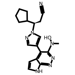 CN(O)c1nnc2[nH]ccc2c1-c1cnn([C@H](CC#N)C2CCCC2)c1